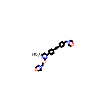 O=C(O)c1cc(-c2ccc(C#Cc3ccc(CN4CCOCC4)cc3)cc2)nc(OCCN2CCOCC2)n1